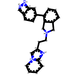 c1cc2c(c(-c3ccc4cn[nH]c4c3)c1)CN(CCc1cn3ccccc3n1)C2